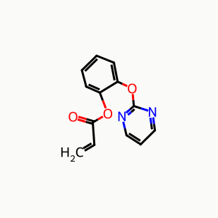 C=CC(=O)Oc1ccccc1Oc1ncccn1